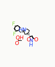 CC(=O)O.O=c1cc([C@H]2CCN[C@@H](Cc3ccc(F)cc3F)C2)o[nH]1